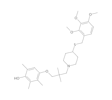 COc1ccc(CSC2CCN(CC(C)(C)COc3cc(C)c(O)c(C)c3C)CC2)c(OC)c1OC